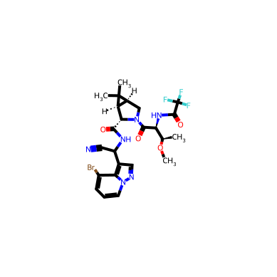 CO[C@H](C)[C@H](NC(=O)C(F)(F)F)C(=O)N1C[C@H]2[C@@H]([C@H]1C(=O)NC(C#N)c1cnn3cccc(Br)c13)C2(C)C